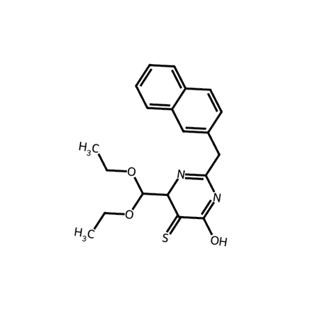 CCOC(OCC)C1N=C(Cc2ccc3ccccc3c2)N=C(O)C1=S